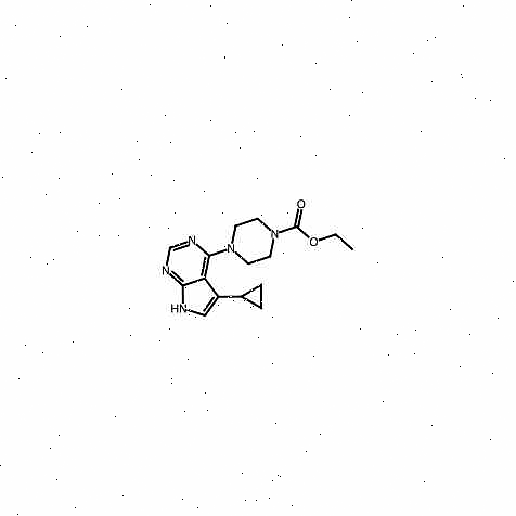 CCOC(=O)N1CCN(c2ncnc3[nH]cc(C4CC4)c23)CC1